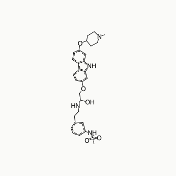 CN1CCC(Oc2ccc3c(c2)[nH]c2cc(OCC(O)NCCc4cccc(NS(C)(=O)=O)c4)ccc23)CC1